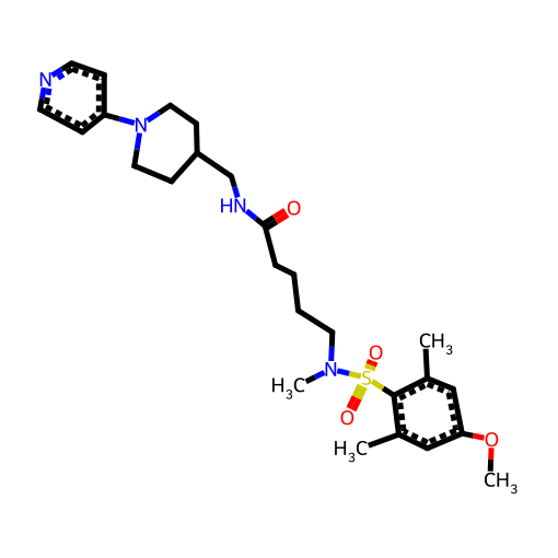 COc1cc(C)c(S(=O)(=O)N(C)CCCCC(=O)NCC2CCN(c3ccncc3)CC2)c(C)c1